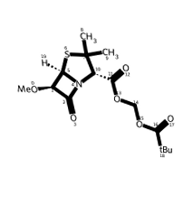 CO[C@@H]1C(=O)N2[C@@H]1SC(C)(C)[C@@H]2C(=O)OCOC(=O)C(C)(C)C